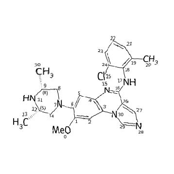 COc1cc2c(cc1N1C[C@@H](C)N[C@@H](C)C1)nc(Nc1c(C)cccc1Cl)c1cncn12